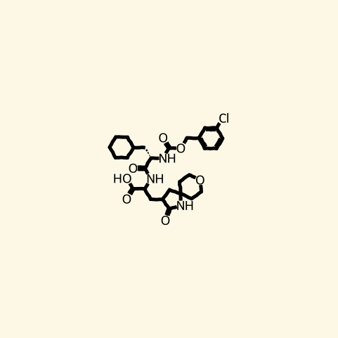 O=C(N[C@@H](CC1CCCCC1)C(=O)NC(CC1CC2(CCOCC2)NC1=O)C(=O)O)OCc1cccc(Cl)c1